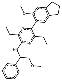 CCc1nc(-c2cc3c(cc2OC)CCC3)c(CC)nc1NC(COC)c1ccccc1